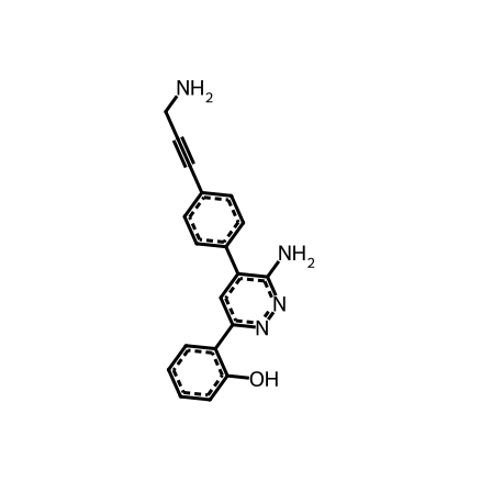 NCC#Cc1ccc(-c2cc(-c3ccccc3O)nnc2N)cc1